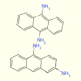 Nc1c2ccccc2c(N)c2ccccc12.Nc1ccc2c(N)c3ccccc3cc2c1